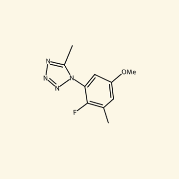 COc1cc(C)c(F)c(-n2nnnc2C)c1